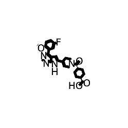 COc1ccc(F)cc1-c1ncnc2[nH]c(C3=CCN(C(=O)[C@H]4CC[C@H](C(=O)O)CC4)CC3)cc12